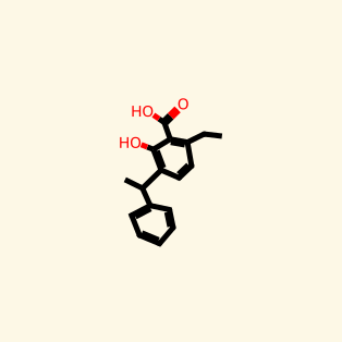 CCc1ccc(C(C)c2ccccc2)c(O)c1C(=O)O